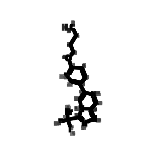 CCCCOc1ccc(-c2cn3c(C(F)(F)Br)nnc3cn2)cn1